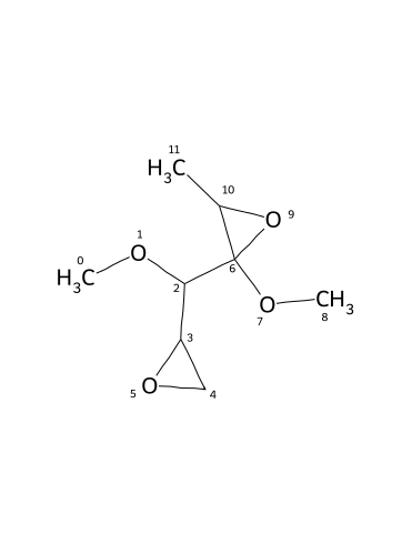 COC(C1CO1)C1(OC)OC1C